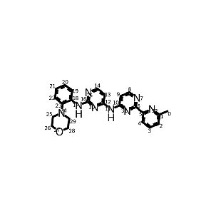 Cc1cccc(-c2nccc(Nc3ccnc(Nc4ccccc4N4CCOCC4)n3)n2)n1